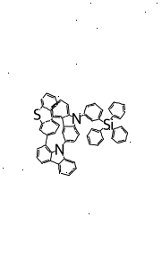 c1ccc([Si](c2ccccc2)(c2ccccc2)c2cccc(-n3c4ccccc4c4cc(-n5c6ccccc6c6cccc(-c7ccc8c(c7)sc7ccccc78)c65)ccc43)c2)cc1